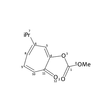 COC(=O)Oc1cc(C(C)C)cccc1=O